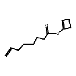 C=CCCCCCC(=O)OC1=CCC1